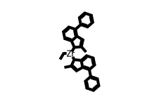 C[CH2][Zr]([CH]1C(C)=Cc2c(-c3ccccc3)cccc21)[CH]1C(C)=Cc2c(-c3ccccc3)cccc21